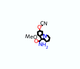 COc1cc(OCC#N)cc2c1c(C(N)=O)c1ccccn12